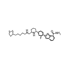 NC(=O)c1cccc2cn(-c3ccc(C4CCCC(CNCCCCCC5CCSS5)N4)cc3F)nc12